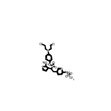 O=[N+]([O-])c1sccc1C(Cc1ccc(NS(=O)(=O)C(F)(F)F)nc1)S(=O)(=O)Oc1ccc(N(CCCl)CCCl)cc1